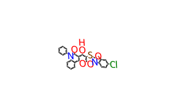 O=c1oc2c(c(O)c1Sc1nc3ccc(Cl)cc3o1)c(=O)n(-c1ccccc1)c1ccccc21